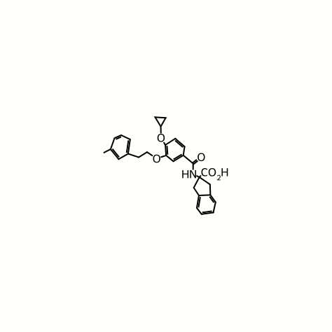 Cc1cccc(CCOc2cc(C(=O)NC3(C(=O)O)Cc4ccccc4C3)ccc2OC2CC2)c1